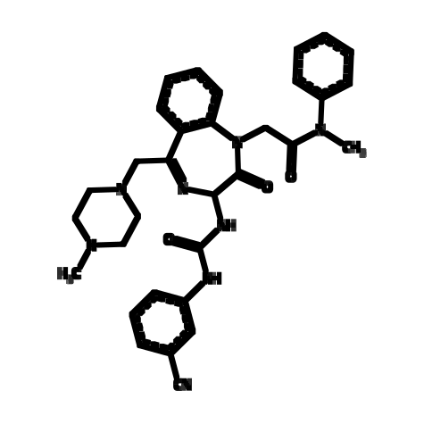 CN1CCN(CC2=NC(NC(=O)Nc3cccc(C#N)c3)C(=O)N(CC(=O)N(C)c3ccccc3)c3ccccc32)CC1